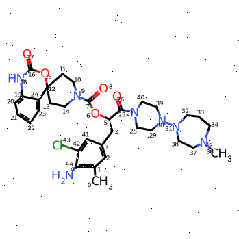 Cc1cc(C[C@@H](OC(=O)N2CCC3(CC2)OC(=O)Nc2ccccc23)C(=O)N2CCN(N3CCCN(C)CC3)CC2)cc(Cl)c1N